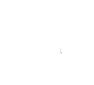 CC1(C)Oc2ccc(I)cc2[C@@H](NC(=O)c2ccc(F)cc2)[C@@H]1O